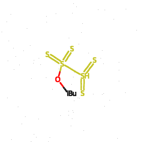 CCC(C)OS(=S)(=S)[SH](=S)=S